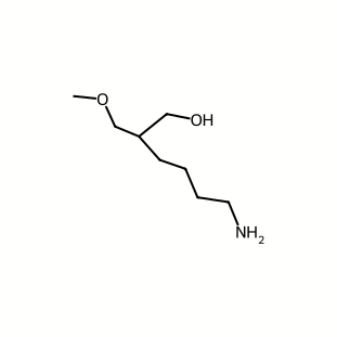 COCC(CO)CCCCN